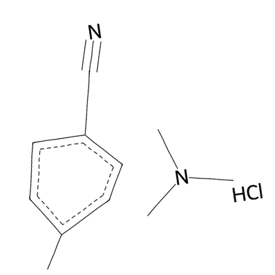 CN(C)C.Cc1ccc(C#N)cc1.Cl